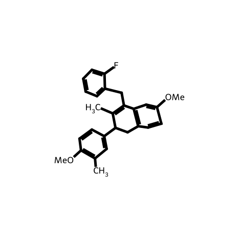 COc1ccc2c(c1)C(Cc1ccccc1F)=C(C)C(c1ccc(OC)c(C)c1)C2